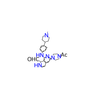 CC(=O)N1CCN(c2cc3c(c(Nc4ccc(C5CCN(C)CC5)cc4)n2)C(C=O)NC=C3)CC1